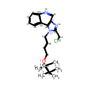 CC(C)(C)[Si](C)(C)OCCCCn1c(CCl)nc2cnc3ccccc3c21